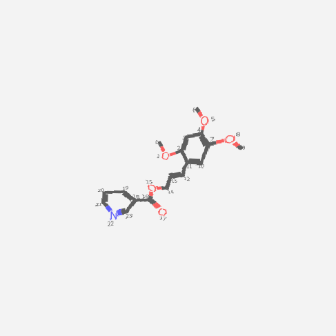 COc1cc(OC)c(OC)cc1/C=C/COC(=O)c1cccnc1